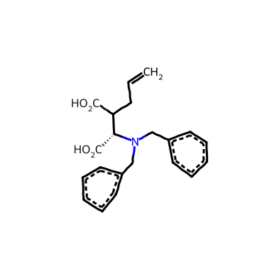 C=CCC(C(=O)O)[C@@H](C(=O)O)N(Cc1ccccc1)Cc1ccccc1